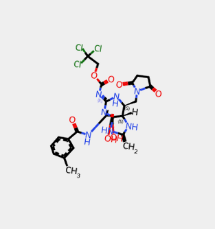 C=C1N[C@H]2[C@H](CN3C(=O)CCC3=O)N/C(=N\C(=O)OCC(Cl)(Cl)Cl)N3CC(NC(=O)c4cccc(C)c4)C(O)(O)C23N1